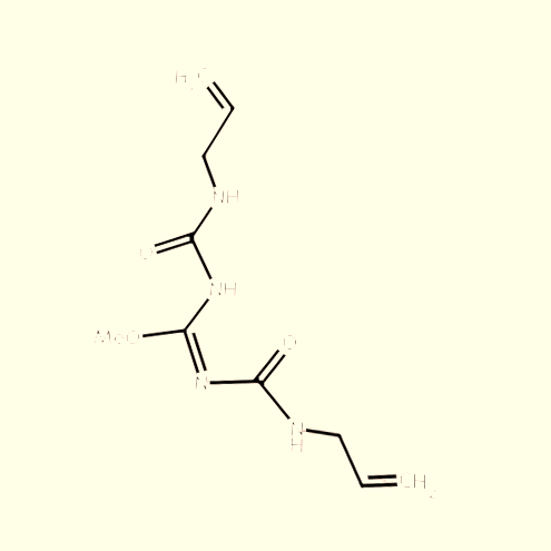 C=CCNC(=O)N=C(NC(=O)NCC=C)OC